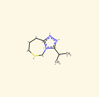 CC(C)c1nnc2n1CSCCC2